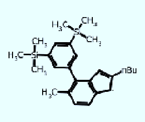 CCCCC1=Cc2c(ccc(C)c2-c2cc([Si](C)(C)C)cc([Si](C)(C)C)c2)[CH]1